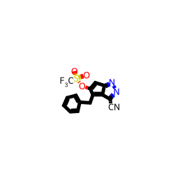 N#CC1=NN=C2C=C(OS(=O)(=O)C(F)(F)F)C(Cc3ccccc3)=C12